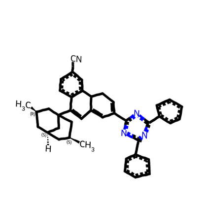 C[C@@H]1C[C@@H]2C[C@H](C)CC(C3=CC4=CC(c5nc(-c6ccccc6)nc(-c6ccccc6)n5)=CCC4c4cc(C#N)ccc43)(C1)C2